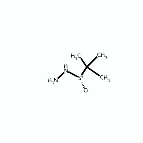 CC(C)(C)[S@+]([O-])NN